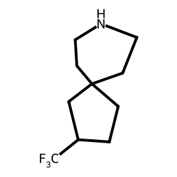 FC(F)(F)C1CCC2(CCNCC2)C1